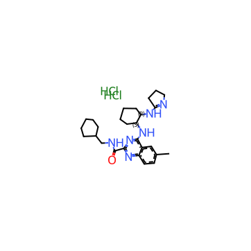 Cc1ccc2nc(C(=O)NCC3CCCCC3)nc(N[C@H]3CCCC[C@H]3NC3=NCCC3)c2c1.Cl.Cl